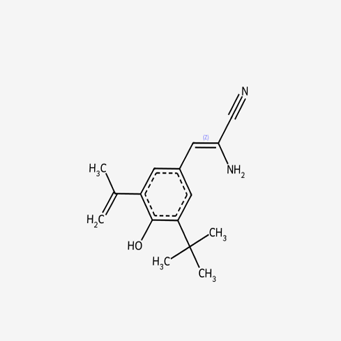 C=C(C)c1cc(/C=C(\N)C#N)cc(C(C)(C)C)c1O